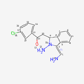 N/C=C1/c2ccccc2C(CC(=O)c2cccc(Cl)c2)N1N